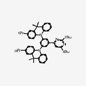 CCCc1ccc2c(c1)C(C)(C)c1ccccc1N2c1cc(-c2cc(C(C)(C)C)nc(C(C)(C)C)n2)cc(N2c3ccccc3C(C)(C)c3cc(CCC)ccc32)c1